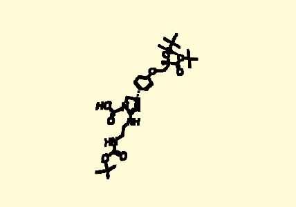 CC(C)(C)OC(=O)NCCNC1=N[C@@H](c2ccc(OC[C@@H](O[Si](C)(C)C(C)(C)C)C(=O)OC(C)(C)C)cc2)CN1C(=O)O